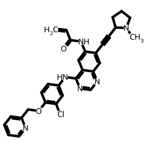 C=CC(=O)Nc1cc2c(Nc3ccc(OCc4ccccn4)c(Cl)c3)ncnc2cc1C#CC1CCCN1C